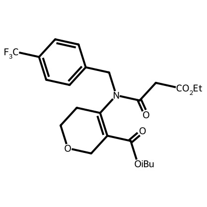 CCOC(=O)CC(=O)N(Cc1ccc(C(F)(F)F)cc1)C1=C(C(=O)OCC(C)C)COCC1